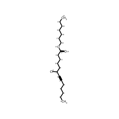 CCCCCC#CC(Cl)CCCCC(=O)OCCCCCCC